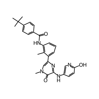 Cc1c(NC(=O)c2ccc(C(C)(C)C)cc2)cccc1-c1cn(C)c(=O)c(Nc2ccc(O)nc2)n1